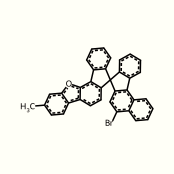 Cc1ccc2c(c1)oc1c3c(ccc12)C1(c2ccccc2-c2c1cc(Br)c1ccccc21)c1ccccc1-3